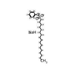 CCCCCCCCCCCCCCCCCS(=O)(=O)Oc1ccccc1.[NaH]